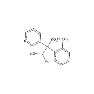 CCC(O)C(C(=O)O)(c1cccnc1)c1ccccc1C